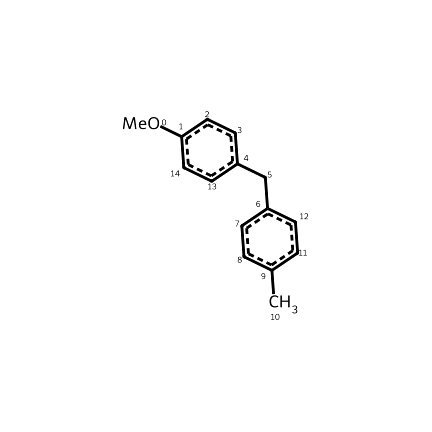 COc1ccc(Cc2ccc(C)cc2)cc1